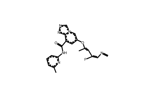 C=N/C=C(F)\C=C(/C)Oc1cc(C(=O)Nc2cccc(C)n2)c2nncn2c1